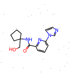 O=C(NC1(CO)CCCC1)c1cccc(-n2ccnc2)n1